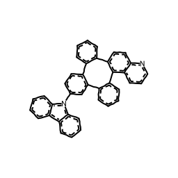 c1ccc2c(c1)-c1ccc(-n3c4ccccc4c4ccccc43)cc1-c1ccccc1-c1c-2ccc2ncccc12